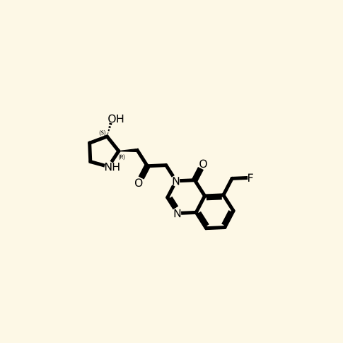 O=C(C[C@H]1NCC[C@@H]1O)Cn1cnc2cccc(CF)c2c1=O